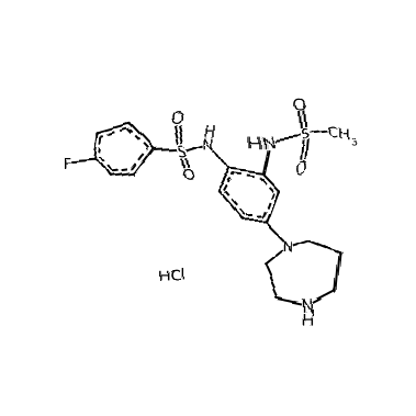 CS(=O)(=O)Nc1cc(N2CCCNCC2)ccc1NS(=O)(=O)c1ccc(F)cc1.Cl